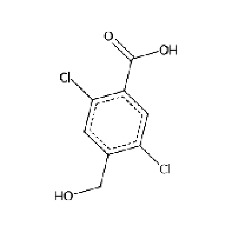 O=C(O)c1cc(Cl)c(CO)cc1Cl